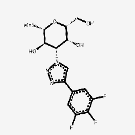 CS[C@@H]1O[C@H](CO)[C@H](O)[C@H](n2cc(-c3cc(F)c(F)c(F)c3)nn2)[C@H]1O